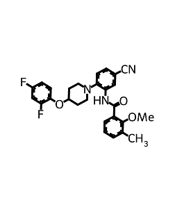 COc1c(C)cccc1C(=O)Nc1cc(C#N)ccc1N1CCC(Oc2ccc(F)cc2F)CC1